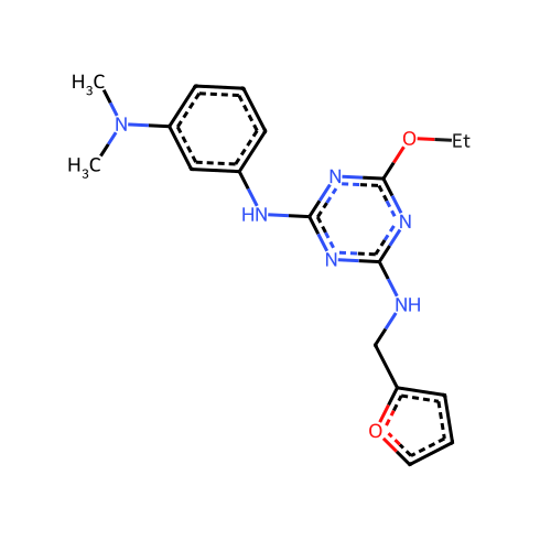 CCOc1nc(NCc2ccco2)nc(Nc2cccc(N(C)C)c2)n1